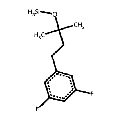 CC(C)(CCc1cc(F)cc(F)c1)O[SiH3]